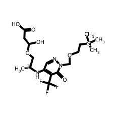 C[C@@H](COC(O)CC(=O)O)Nc1cnn(COCC[Si](C)(C)C)c(=O)c1C(F)(F)F